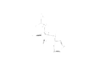 CC(=O)N(c1cccnc1)c1c(NC(C)C(C)(C)C)c(=O)c1=O